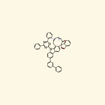 C=C1/C=C\C=C/Cc2c(ccc3c4cc(-c5cccc(-c6ccccc6)c5)ccc4n(-c4nc(-c5ccccc5)nc(-c5ccccc5)n4)c23)C12c1ccccc1-c1ccccc12